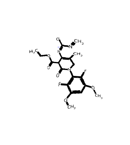 C=N/C(Cl)=N\C1=C(C)CN(c2c(F)c(OC)cc(OC)c2F)C(=O)C1C(=O)OCC